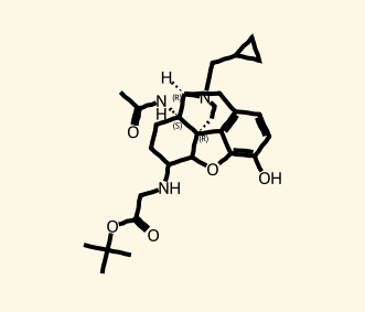 CC(=O)N[C@@]12CCC(NCC(=O)OC(C)(C)C)C3Oc4c(O)ccc5c4[C@@]31CCN(CC1CC1)[C@@H]2C5